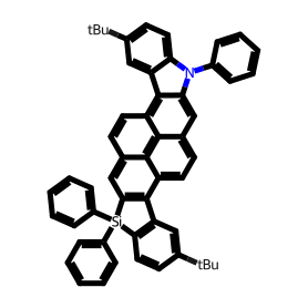 CC(C)(C)c1ccc2c(c1)-c1c(cc3ccc4c5c(ccc1c35)cc1c4c3cc(C(C)(C)C)ccc3n1-c1ccccc1)[Si]2(c1ccccc1)c1ccccc1